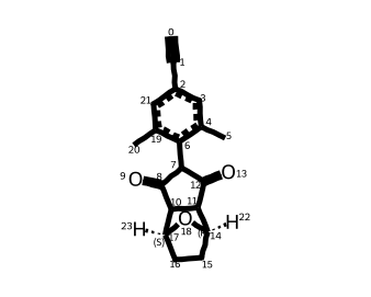 C#Cc1cc(C)c(C2C(=O)C3C(C2=O)[C@H]2CC[C@@H]3O2)c(C)c1